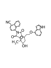 CC12OC(CCOc3cccc4[nH]ccc34)(CC1O)C1C(=O)N(c3ccc(C#N)c4ccccc34)C(=O)C12